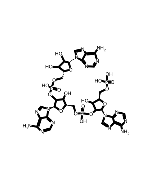 Nc1ncnc2c1ncn2[C@@H]1O[C@H](COP(=O)(O)OC2C(O)[C@@H](COP(=O)(O)OC3C(O)[C@@H](COP(=O)(O)O)O[C@H]3n3cnc4c(N)ncnc43)O[C@H]2n2cnc3c(N)ncnc32)C(O)C1O